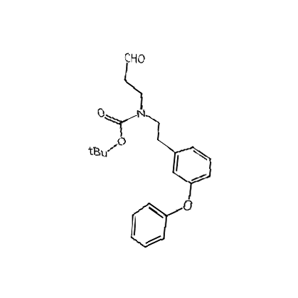 CC(C)(C)OC(=O)N(CCC=O)CCc1cccc(Oc2ccccc2)c1